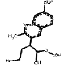 COc1ccc2cc(C(CCC#N)C(O)OC(C)(C)C)c(C)nc2c1